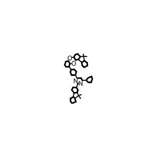 CC1(C)c2ccccc2-c2ccc(-c3nc(-c4ccccc4)cc(-c4ccc(-c5cccc6c5Oc5c(ccc7c5-c5ccccc5C7(C)C)O6)cc4)n3)cc21